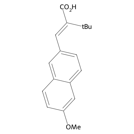 COc1ccc2cc(C=C(C(=O)O)C(C)(C)C)ccc2c1